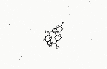 FC(F)Oc1cc(Nc2cnc3cnn(C(C4CCOCC4)C4CC4)c3n2)n[nH]1